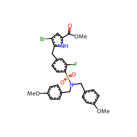 COC(=O)c1cc(Br)c(Cc2ccc(S(=O)(=O)N(Cc3ccc(OC)cc3)Cc3ccc(OC)cc3)c(F)c2)[nH]1